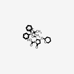 CC(C)(C)[Si](OC[C@@H]1[C@H](OC2CCCCO2)CC(=O)N1C(=O)O)(c1ccccc1)c1ccccc1